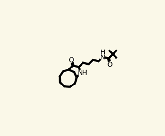 CC(C)(C)C(=O)NCCCCC1NC2CCCCCCC(C2)C1=O